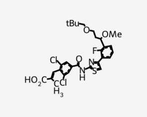 COC(CCOCC(C)(C)C)c1cccc(-c2csc(NC(=O)c3cc(Cl)c(C=C(C)C(=O)O)c(Cl)c3)n2)c1F